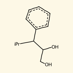 CC(C)C(c1ccccc1)C(O)CO